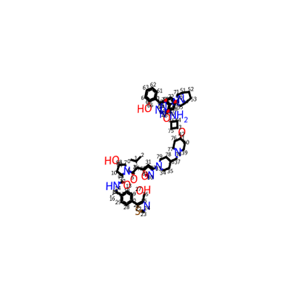 CC(C)[C@@H](C(=O)N1C[C@H](O)C[C@H]1C(=O)N[C@@H](C)c1ccc(-c2scnc2CO)cc1)c1cc(N2CCC(CN3CCC(O[C@H]4C[C@H](Oc5cc(N6C7CCC6CN(c6cc(-c8ccccc8O)nnc6N)C7)ccn5)C4)CC3)CC2)no1